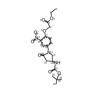 CCOC(=O)COc1ccc(N2C[C@@H](NC(=O)OC(C)(C)C)CC2=O)nc1[N+](=O)[O-]